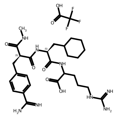 CNC(=O)[C@H](Cc1ccc(C(=N)N)cc1)C(=O)N[C@@H](CC1CCCCC1)C(=O)NC(CCCNC(=N)N)C(=O)O.O=C(O)C(F)(F)F